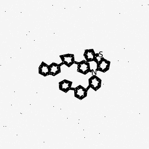 c1ccc(-c2cccc(-c3cccc(N(c4ccc(-c5cccc(-c6ccc7ccccc7c6)c5)cc4)c4cccc5sc6ccccc6c45)c3)c2)cc1